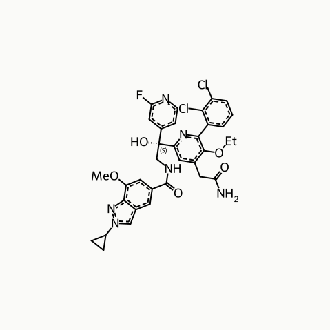 CCOc1c(CC(N)=O)cc([C@@](O)(CNC(=O)c2cc(OC)c3nn(C4CC4)cc3c2)c2ccnc(F)c2)nc1-c1cccc(Cl)c1Cl